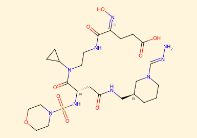 NN=CN1CCC[C@@H](CNC(=O)C[C@H](NS(=O)(=O)N2CCOCC2)C(=O)N(CCNC(=O)/C(CCC(=O)O)=N\O)C2CC2)C1